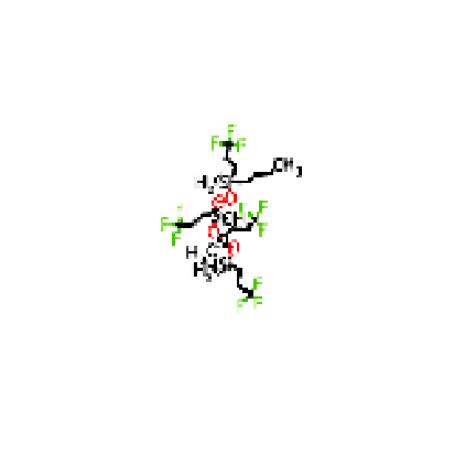 CCCC[Si](C)(CCC(F)(F)F)OO[Si](C)(CCC(F)(F)F)O[Si](C)(CCC(F)(F)F)O[SiH](C)CCC(F)(F)F